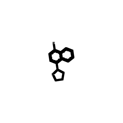 Fc1ccc(C2CCCS2)c2ccccc12